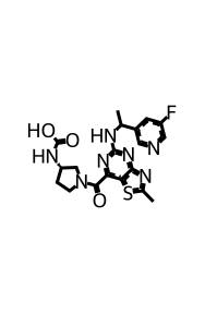 Cc1nc2nc(NC(C)c3cncc(F)c3)nc(C(=O)N3CC[C@@H](NC(=O)O)C3)c2s1